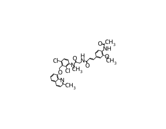 COc1cc(C=CC(=O)NCC(=O)N(C)c2ccc(Cl)c(COc3cccc4ccc(C)nc34)c2Cl)ccc1NC(C)=O